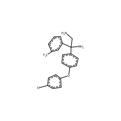 NCC(N)(c1ccc(Oc2ccc(Cl)cc2)cc1)c1cccc(C(F)(F)F)c1